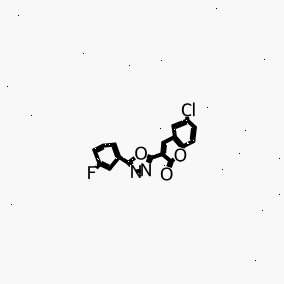 O=c1oc2ccc(Cl)cc2cc1-c1nnc(-c2cccc(F)c2)o1